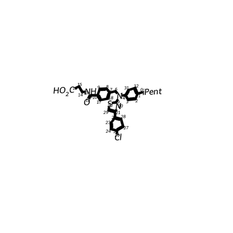 CCCC(C)c1ccc(N(Cc2ccc(C(=O)NCCC(=O)O)cc2)c2nc(-c3ccc(Cl)cc3)cs2)cc1